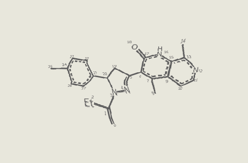 C=C(CC)N1N=C(c2c(C)c3ccnc(C)c3[nH]c2=O)CC1c1ccc(C)cc1